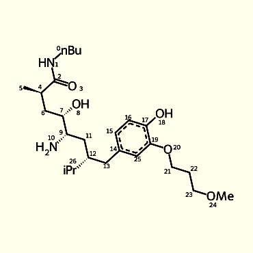 CCCCNC(=O)[C@H](C)C[C@H](O)[C@@H](N)C[C@H](Cc1ccc(O)c(OCCCOC)c1)C(C)C